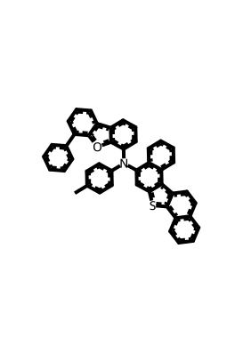 Cc1ccc(N(c2cc3sc4c5ccccc5ccc4c3c3ccccc23)c2cccc3c2oc2c(-c4ccccc4)cccc23)cc1